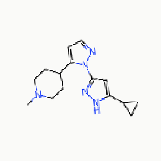 CN1CCC(c2ccnn2-c2cc(C3CC3)[nH]n2)CC1